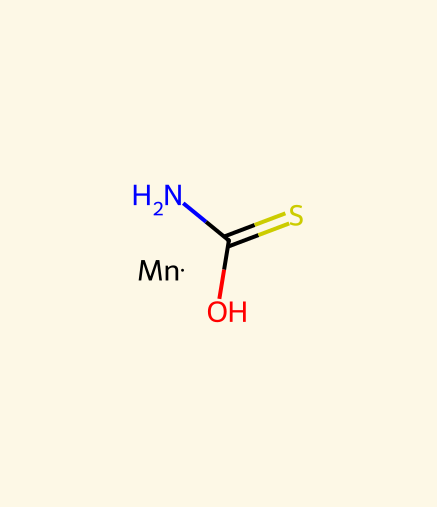 NC(O)=S.[Mn]